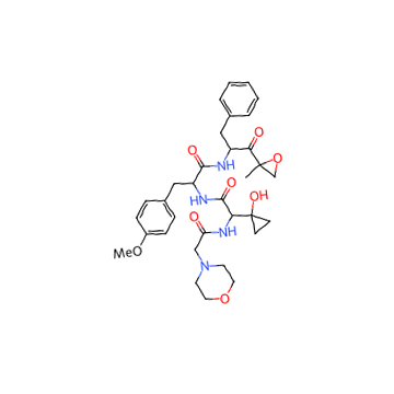 COc1ccc(CC(NC(=O)C(NC(=O)CN2CCOCC2)C2(O)CC2)C(=O)NC(Cc2ccccc2)C(=O)C2(C)CO2)cc1